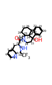 O=C([C@H](Cc1cccnc1)NCC(F)(F)F)N1CC[C@](O)(c2ccccc2)[C@H]2CCCC[C@H]21